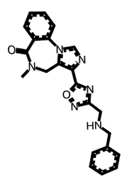 CN1Cc2c(-c3nc(CNCc4ccccc4)no3)ncn2-c2ccccc2C1=O